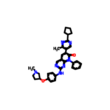 Cc1nc(C2CCCC2)ncc1-c1cc2cnc(Nc3ccc(OC4CCN(C)C4)cc3)nc2n(-c2ccccc2)c1=O